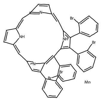 Brc1ccccc1C1=Cc2cc3ccc(cc4nc(cc5[nH]c(c(-c6ccccc6Br)c1n2)c(-c1ccccc1Br)c5-c1ccccc1Br)C=C4)[nH]3.[Mn]